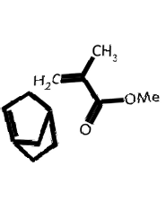 C1=C2CCC(C1)C2.C=C(C)C(=O)OC